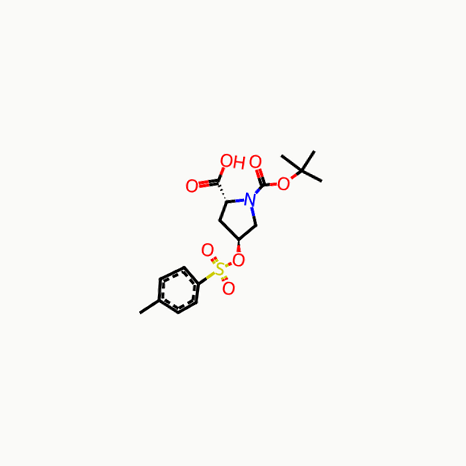 Cc1ccc(S(=O)(=O)O[C@H]2C[C@H](C(=O)O)N(C(=O)OC(C)(C)C)C2)cc1